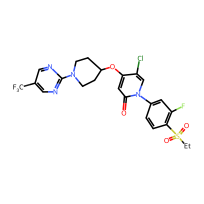 CCS(=O)(=O)c1ccc(-n2cc(Cl)c(OC3CCN(c4ncc(C(F)(F)F)cn4)CC3)cc2=O)cc1F